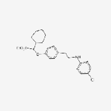 CCOC(=O)C(Oc1ccc(CCNc2ccc(Cl)cc2)cc1)C1CCCCC1